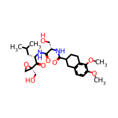 COc1ccc2c(c1OC)CCC(C(=O)N[C@@H](CO)C(=O)N[C@@H](CC(C)C)C(=O)[C@@]1(CO)CO1)C2